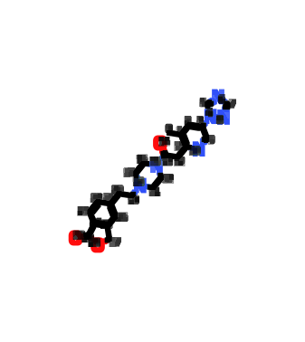 Cc1cc(-n2cncn2)cnc1CC(=O)N1CCN(CCc2ccc3c(c2)COC3=O)CC1